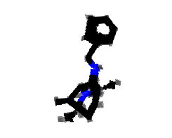 CC1CC(=NCc2ccccc2)[C@H]2CC[C@@H]1N2C